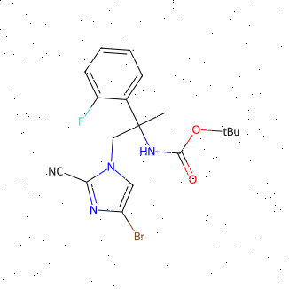 CC(C)(C)OC(=O)NC(C)(Cn1cc(Br)nc1C#N)c1c[c]ccc1F